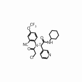 N#Cc1cc(OC(F)(F)F)ccc1N(C(=O)CCl)[C@H](C(=O)NC1CCCCC1)c1cccnc1